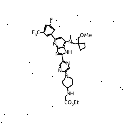 CCOC(=O)CNC1CCN(c2cnc(-c3nc4nc(-c5cc(F)cc(C(F)(F)F)c5)cc(N(C)CC5(COC)CCC5)c4[nH]3)cn2)CC1